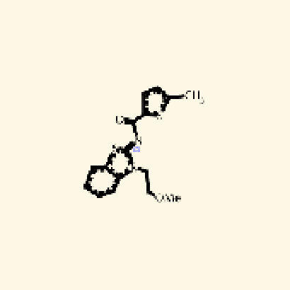 COCCn1/c(=N/C(=O)c2ccc(C)s2)sc2ccccc21